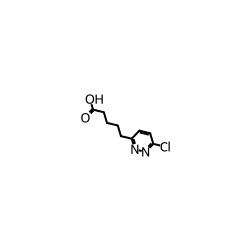 O=C(O)CCCCc1ccc(Cl)nn1